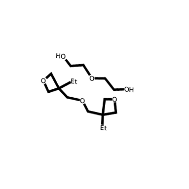 CCC1(COCC2(CC)COC2)COC1.OCCOCCO